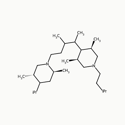 CC(C)CCN1C[C@@H](C)C(C(C)C(C)CCN2C[C@@H](C)C(C(C)C)C[C@@H]2C)[C@@H](C)C1